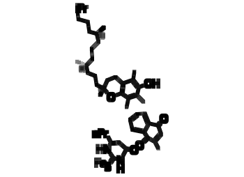 CC1=CC(=O)c2ccccc2C1=O.CCCc1cc(=O)[nH]c(=S)[nH]1.Cc1c(C)c2c(c(C)c1O)CC[C@@](C)(CCC[C@H](C)CCC[C@H](C)CCCC(C)C)O2.[Fe]